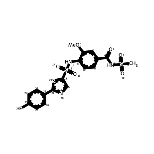 COc1cc(C(=O)NS(C)(=O)=O)ccc1NS(=O)(=O)c1cnc(-c2ccc(F)cc2)s1